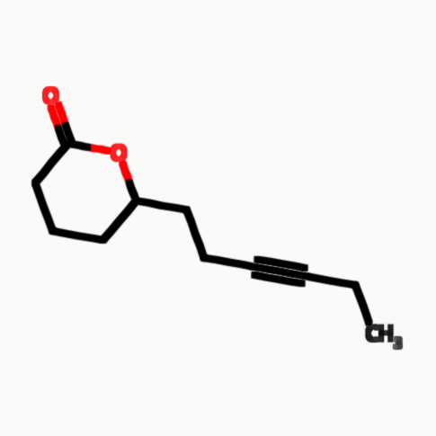 CCC#CCCC1CCCC(=O)O1